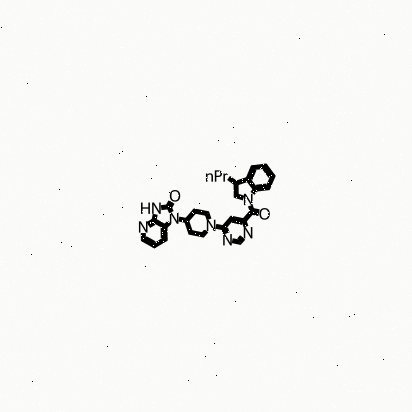 CCCC1CN(C(=O)c2cc(N3CCC(n4c(=O)[nH]c5ncccc54)CC3)ncn2)c2ccccc21